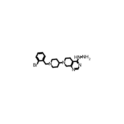 NNc1ncnc2c1CCN(C1CCN(Cc3ccccc3Br)CC1)C2